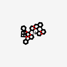 c1ccc(-c2cccc3cccc(-c4ccccc4N(c4ccc5c(c4)C4(c6ccccc6-5)C5CC6CC7CC4C675)c4ccccc4-c4cccc5oc6ccccc6c45)c23)cc1